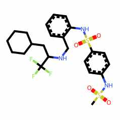 CS(=O)(=O)Nc1ccc(S(=O)(=O)Nc2ccccc2CNC(CC2CCCCC2)C(F)(F)F)cc1